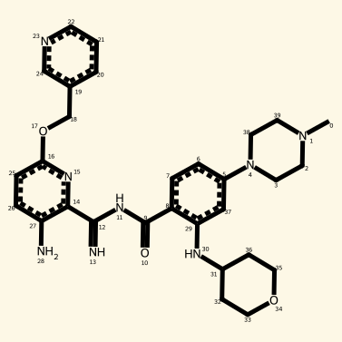 CN1CCN(c2ccc(C(=O)NC(=N)c3nc(OCc4cccnc4)ccc3N)c(NC3CCOCC3)c2)CC1